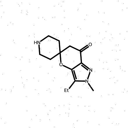 CCc1c2c(nn1C)C(=O)CC1(CCNCC1)O2